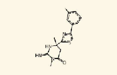 Cc1cccc(-c2csc([C@]3(C)CC(=O)N(C)C(=N)N3)n2)c1